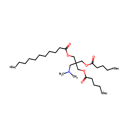 CCCCCCCCCCCCCCCCCCCC(=O)OCC(COC(=O)CCCCCCCCCCCCC)(COC(=O)CCCCCCCCCCCCC)CN(C)C